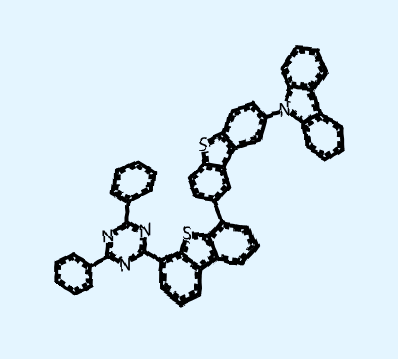 c1ccc(-c2nc(-c3ccccc3)nc(-c3cccc4c3sc3c(-c5ccc6sc7ccc(-n8c9ccccc9c9ccccc98)cc7c6c5)cccc34)n2)cc1